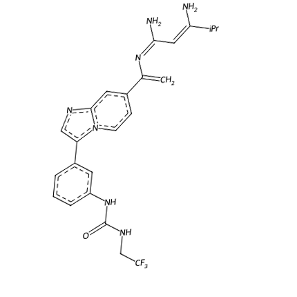 C=C(/N=C(N)\C=C(/N)C(C)C)c1ccn2c(-c3cccc(NC(=O)NCC(F)(F)F)c3)cnc2c1